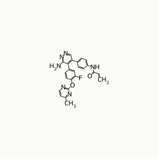 C=CC(=O)Nc1ccc(-c2cnnc(N)c2-c2ccc(Oc3nccc(C)n3)c(F)c2)cc1